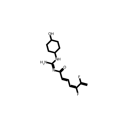 C=C(F)/C(F)=C\C=C\C(=O)/N=C(/N)NC1CCC(O)CC1